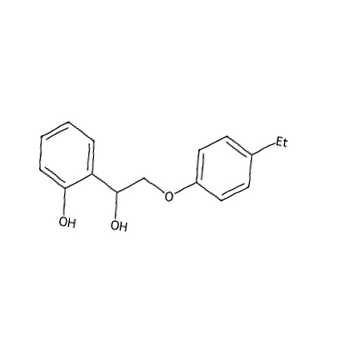 CCc1ccc(OCC(O)c2ccccc2O)cc1